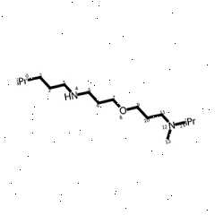 CC(C)CCCNCCCOCCCN(C)C(C)C